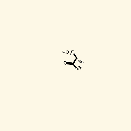 CCCC(=O)CC(=O)O.[Ru]